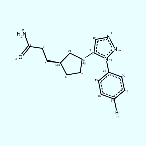 NC(=O)CC[C@@H]1CC[C@@H](c2cnnn2-c2ccc(Br)cc2)C1